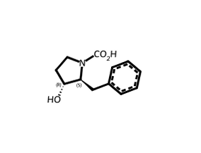 O=C(O)N1CC[C@@H](O)[C@@H]1Cc1ccccc1